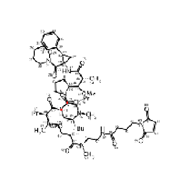 CC[C@H](C)[C@@H]([C@@H](CC(=O)N1CCC[C@H]1[C@H](OC)[C@@H](C)C(=O)N[C@@]1(C(=O)N2CCCCO2)C[C@@H]1c1ccccc1)OC)N(C)[C@H](C(=O)NC(=O)[C@H](C(C)C)N(C)CCCC(=O)N(C)CCNC(=O)CCCN1C(=O)C=CC1=O)C(C)C